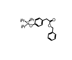 CC(C)[Si](Oc1ccc(CC(=O)OCc2ccccc2)cc1)(C(C)C)C(C)C